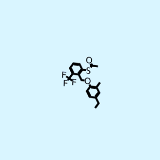 CCc1ccc(OCc2c(SC(C)=O)cccc2C(F)(F)F)c(C)c1